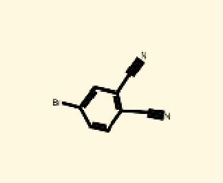 N#Cc1ccc(Br)cc1C#N